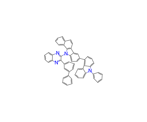 c1ccc(-c2cccc(-c3nc4ccccc4nc3-n3c4ccc(-c5cccc6c5c5ccccc5n6-c5ccccc5)cc4c4ccc5ccccc5c43)c2)cc1